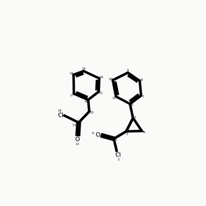 O=C(Cl)C1CC1c1ccccc1.O=C(Cl)Cc1ccccc1